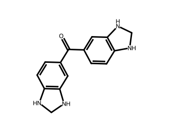 O=C(c1ccc2c(c1)NCN2)c1ccc2c(c1)NCN2